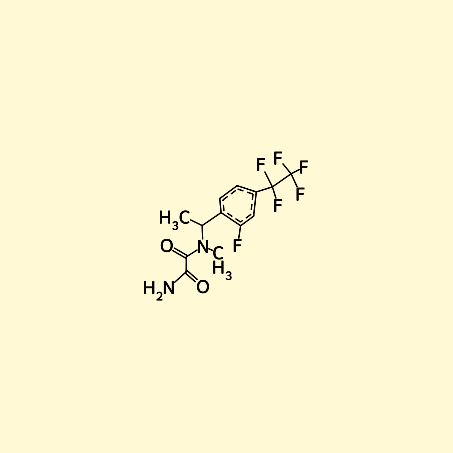 CC(c1ccc(C(F)(F)C(F)(F)F)cc1F)N(C)C(=O)C(N)=O